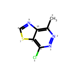 Cc1nnc(Cl)c2s[c]nc12